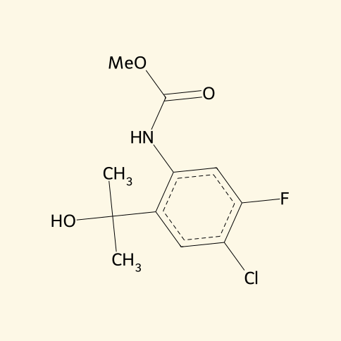 COC(=O)Nc1cc(F)c(Cl)cc1C(C)(C)O